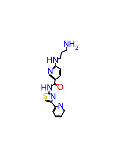 NCCCNc1ccc(C(=O)Nc2nc(-c3ccccn3)cs2)cn1